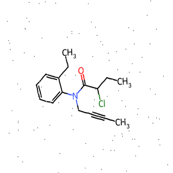 CC#CCN(C(=O)C(Cl)CC)c1ccccc1CC